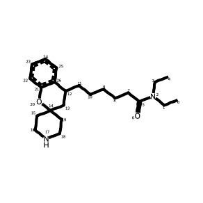 CCN(CC)C(=O)CCCCCC1CC2(CCNCC2)Oc2ccccc21